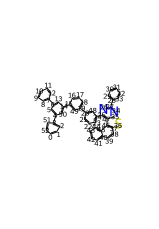 c1ccc(-c2cc(-c3ccccc3)cc(-c3cccc(-c4cccc(-c5nc(-c6ccccc6)nc6sc7ccc8ccccc8c7c56)c4)c3)c2)cc1